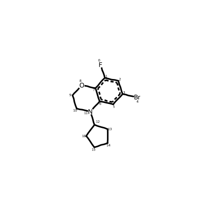 Fc1cc(Br)cc2c1OCCN2C1CCCC1